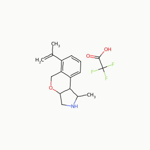 C=C(C)c1cccc2c1COC1CNC(C)C21.O=C(O)C(F)(F)F